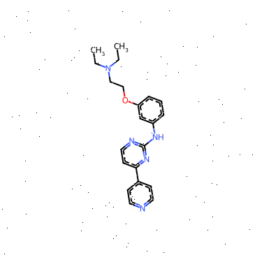 CCN(CC)CCOc1cccc(Nc2nccc(-c3ccncc3)n2)c1